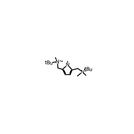 Cn1c(C[N+](C)(C)C(C)(C)C)ccc1C[N+](C)(C)C(C)(C)C